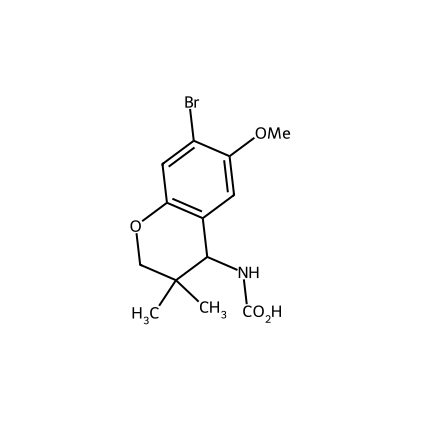 COc1cc2c(cc1Br)OCC(C)(C)C2NC(=O)O